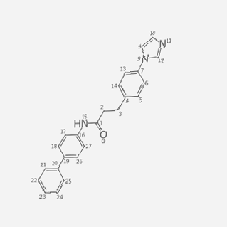 O=C(CCc1ccc(-n2ccnc2)cc1)Nc1ccc(-c2ccccc2)cc1